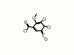 COC1=C(Cl)C(Cl)C(=C=O)C=C1C(=O)Cl